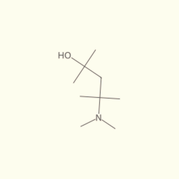 CN(C)C(C)(C)CC(C)(C)O